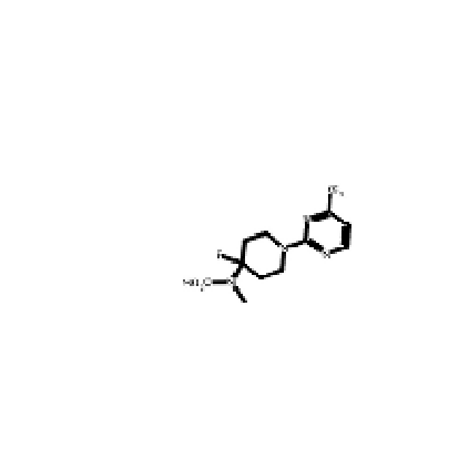 CN(C(=O)O)C1(F)CCN(c2nccc(C(F)(F)F)n2)CC1